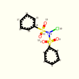 O=S(=O)(c1ccccc1)N(Cl)S(=O)(=O)c1ccccc1